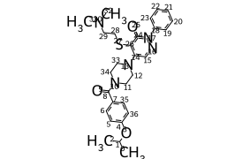 CC(C)Oc1ccc(C(=O)N2CCN(c3cnn(-c4ccccc4)c(=O)c3SCCN(C)C)CC2)cc1